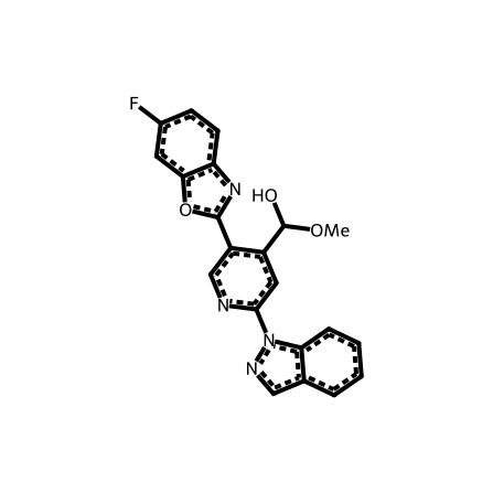 COC(O)c1cc(-n2ncc3ccccc32)ncc1-c1nc2ccc(F)cc2o1